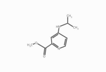 COC(=O)c1cc(NC(C)C)ccn1